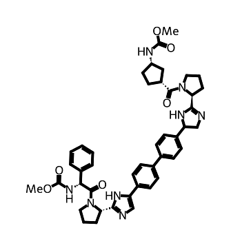 COC(=O)N[C@H]1CC[C@@H](C(=O)N2CCC[C@H]2C2=NCC(c3ccc(-c4ccc(-c5cnc([C@@H]6CCCN6C(=O)[C@H](NC(=O)OC)c6ccccc6)[nH]5)cc4)cc3)N2)C1